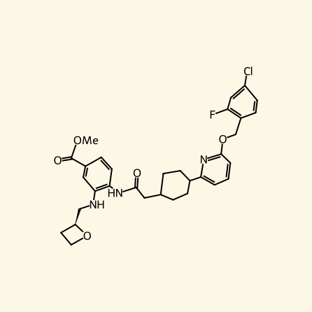 COC(=O)c1ccc(NC(=O)CC2CCC(c3cccc(OCc4ccc(Cl)cc4F)n3)CC2)c(NC[C@@H]2CCO2)c1